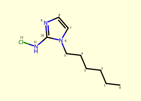 CCCCCCn1ccnc1NCl